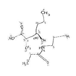 CCC(=O)NCCS.CCC[C@@H](O)[C@H](C)C(=O)O